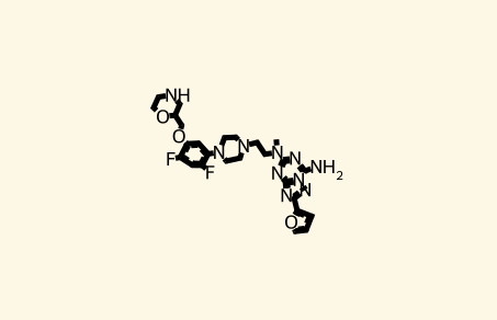 CN(CCN1CCN(c2cc(OCC3CNCCO3)c(F)cc2F)CC1)c1nc(N)n2nc(-c3ccco3)nc2n1